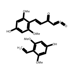 C=Cc1c(OC)cc(O)cc1OC.COc1cc(O)cc(OC)c1C=CC(=O)C=S=O